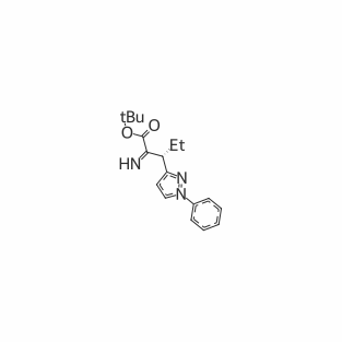 CC[C@@H](C(=N)C(=O)OC(C)(C)C)c1ccn(-c2ccccc2)n1